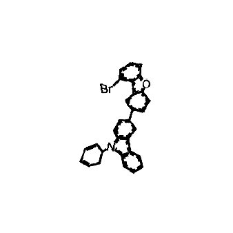 Brc1cccc2oc3ccc(-c4ccc5c(c4)c4ccccc4n5C4C=CC=CC4)cc3c12